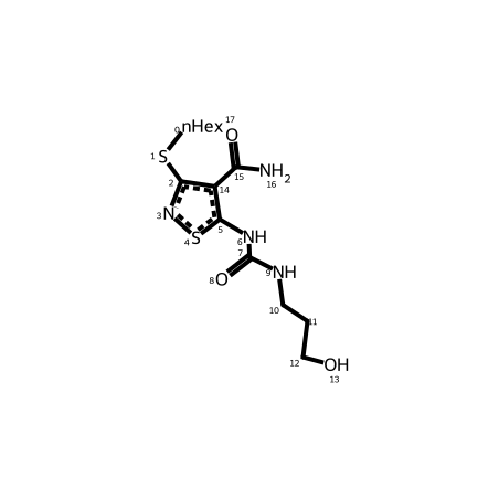 CCCCCCSc1nsc(NC(=O)NCCCO)c1C(N)=O